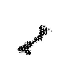 COc1cc(OC)c2c(=O)cc(-c3ccc(NC(=O)CCCNC4CCN(c5nc6c(cc5F)c(=O)c(C(=O)O)cn6-c5ccc(F)cc5F)C4)cc3)oc2c1